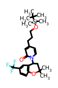 CC1(C)CC(n2ccc(CCCO[Si](C)(C)C(C)(C)C)cc2=O)c2cc(C(F)(F)F)ccc2O1